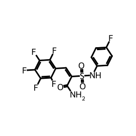 NC(=O)/C(=C\c1c(F)c(F)c(F)c(F)c1F)S(=O)(=O)Nc1ccc(F)cc1